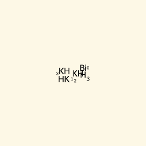 [BiH3].[KH].[KH].[KH]